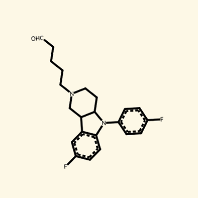 O=CCCCCN1CCC2C(C1)c1cc(F)ccc1N2c1ccc(F)cc1